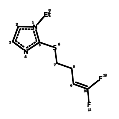 CCn1ccnc1SCCC=C(F)F